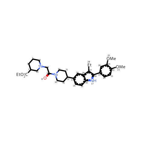 CCOC(=O)C1CCCN(CC(=O)N2CCC(c3ccc4[nH]c(-c5ccc(OC)c(OC)c5)c(CC)c4c3)CC2)C1